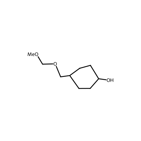 COCOCC1CCC(O)CC1